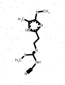 CSC(=NCCc1nc(SC)c(C)[nH]1)NC#N